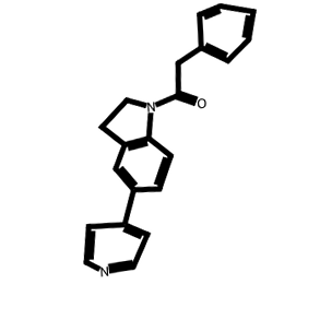 O=C(Cc1ccccc1)N1CCc2cc(-c3ccncc3)ccc21